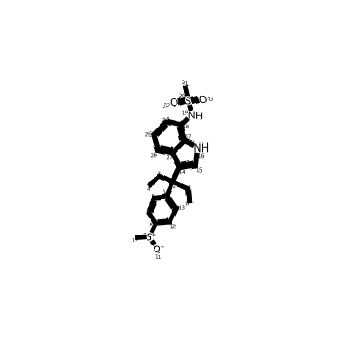 CCC(CC)(c1ccc([S+](C)[O-])cc1)c1c[nH]c2c(NS(C)(=O)=O)cccc12